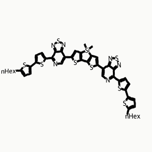 CCCCCCc1ccc(-c2ccc(-c3ncc(-c4cc5c(s4)-c4sc(-c6cnc(-c7ccc(-c8ccc(CCCCCC)s8)s7)c7nsnc67)cc4[Si]5(C)C)c4nsnc34)s2)s1